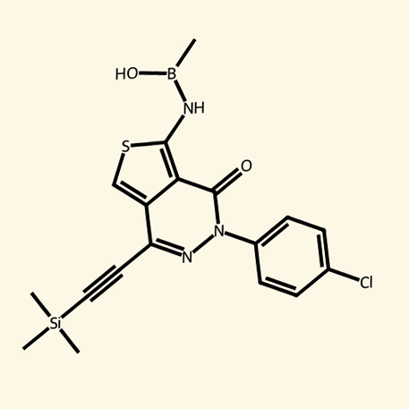 CB(O)Nc1scc2c(C#C[Si](C)(C)C)nn(-c3ccc(Cl)cc3)c(=O)c12